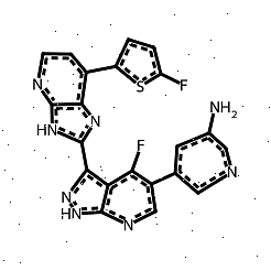 Nc1cncc(-c2cnc3[nH]nc(-c4nc5c(-c6ccc(F)s6)ccnc5[nH]4)c3c2F)c1